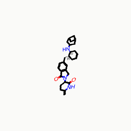 C=C1CCC(N2Cc3cc(C[C@H]4CCCC[C@@H]4NC4CC5CC(C5)C4)ccc3C2=O)C(=O)N1